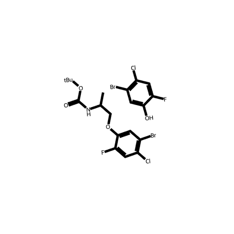 CC(COc1cc(Br)c(Cl)cc1F)NC(=O)OC(C)(C)C.Oc1cc(Br)c(Cl)cc1F